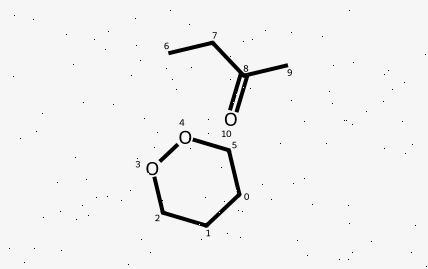 C1CCOOC1.CCC(C)=O